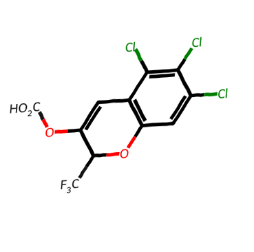 O=C(O)OC1=Cc2c(cc(Cl)c(Cl)c2Cl)OC1C(F)(F)F